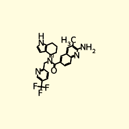 Cc1cc2cc(C(=O)N(Cc3ccc(C(F)(F)F)cn3)[C@H]3CCCc4[nH]ccc43)ccc2nc1N